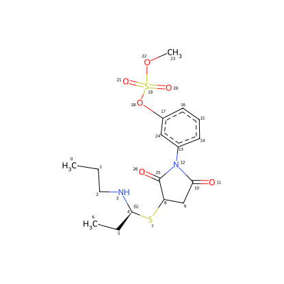 CCCN[C@H](CC)SC1CC(=O)N(c2cccc(OS(=O)(=O)OC)c2)C1=O